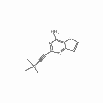 C[Si](C)(C)C#Cc1nc(N)c2sccc2n1